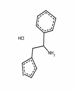 Cl.NC(Cc1ccsc1)c1ccccc1